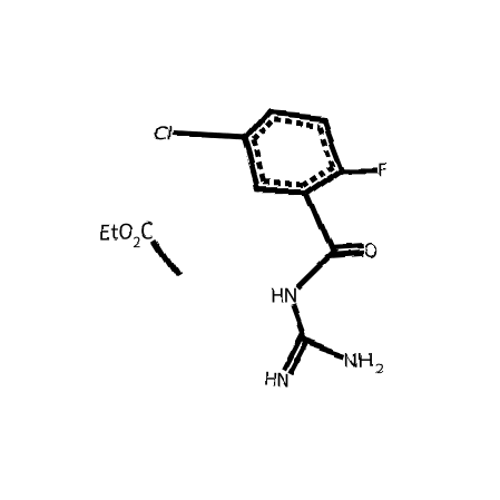 CCOC(C)=O.N=C(N)NC(=O)c1cc(Cl)ccc1F